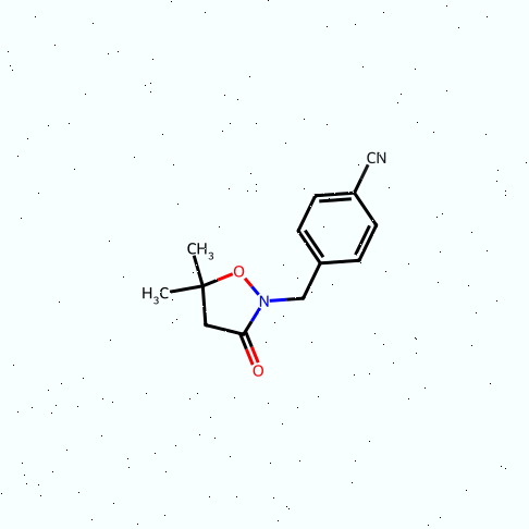 CC1(C)CC(=O)N(Cc2ccc(C#N)cc2)O1